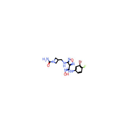 NC(=O)N1CC(CNc2nonc2/C(=N/O)Nc2ccc(F)c(Br)c2)C1